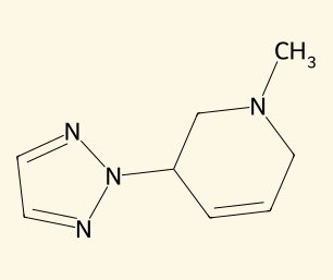 CN1CC=CC(n2nccn2)C1